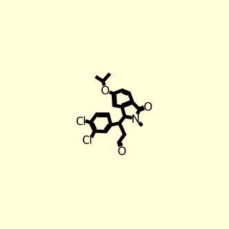 CC(C)Oc1ccc2c(c1)C(C(CC=O)c1ccc(Cl)c(Cl)c1)N(C)C2=O